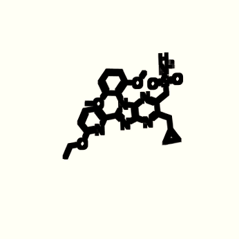 CCOc1cccc(-c2nc3nc(CC4CC4)c(CS(N)(=O)=O)nc3n2-c2c(OC)cccc2OC)n1